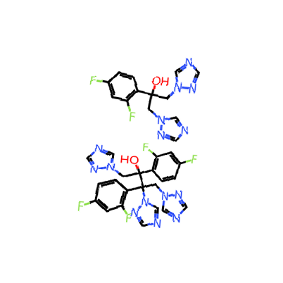 OC(Cn1cncn1)(Cn1cncn1)c1ccc(F)cc1F.OC(Cn1cncn1)(c1ccc(F)cc1F)C(Cn1cncn1)(c1ccc(F)cc1F)n1cncn1